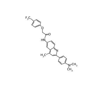 Cc1cc(-c2ccc(N(C)C)cc2)nc2ccc(NC(=O)COc3ccc(C(F)(F)F)cc3)cc12